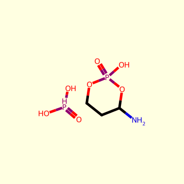 NC1CCOP(=O)(O)O1.O=[PH](O)O